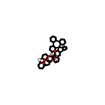 c1ccc(-c2ccccc2N(c2ccc3c(c2)C2(c4ccccc4-c4ccccc4-3)c3ccccc3-c3cc4sc5ccccc5c4cc32)c2ccc3oc4ccccc4c3c2)cc1